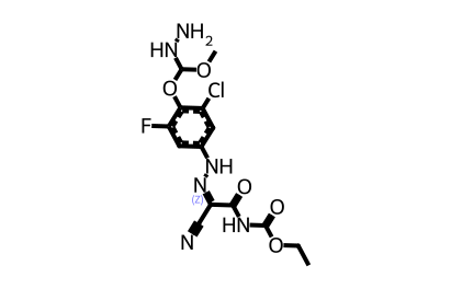 CCOC(=O)NC(=O)/C(C#N)=N\Nc1cc(F)c(OC(NN)OC)c(Cl)c1